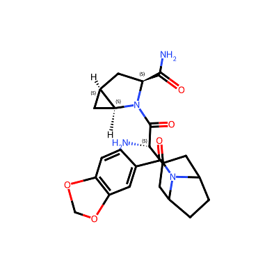 NC(=O)[C@@H]1C[C@@H]2C[C@@H]2N1C(=O)[C@@H](N)C1CC2CCC(C1)N2C(=O)c1ccc2c(c1)OCO2